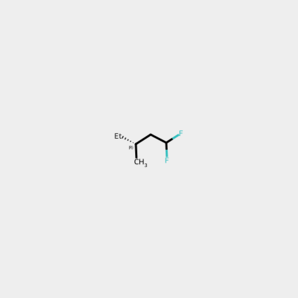 CC[C@@H](C)CC(F)F